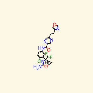 NC1=N[C@@](c2cc(NC(=O)c3cnc(CCc4cocn4)cn3)ccc2Cl)(C(F)F)C2C[C@H]2O1